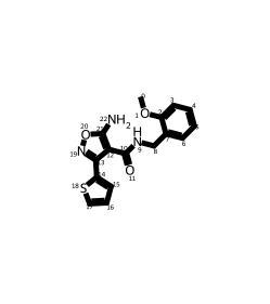 COc1ccccc1CNC(=O)c1c(-c2cccs2)noc1N